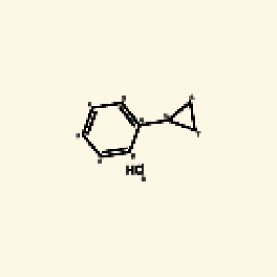 Cl.c1ccc(C2CC2)cc1